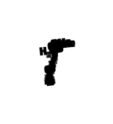 COC1=C(OC)C(=O)C(CCCCCCCCCCOC(=O)CCCCC2CCCSS2)=C(C)C1=O